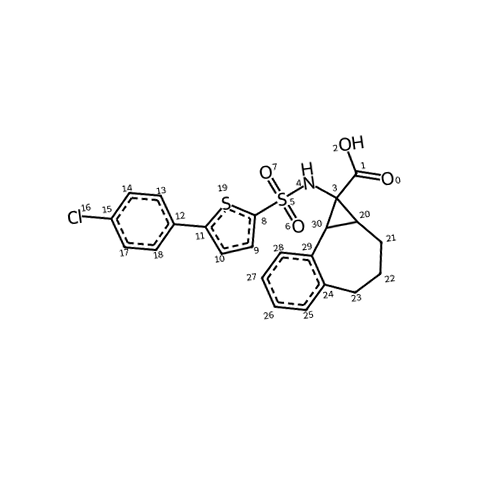 O=C(O)C1(NS(=O)(=O)c2ccc(-c3ccc(Cl)cc3)s2)C2CCCc3ccccc3C21